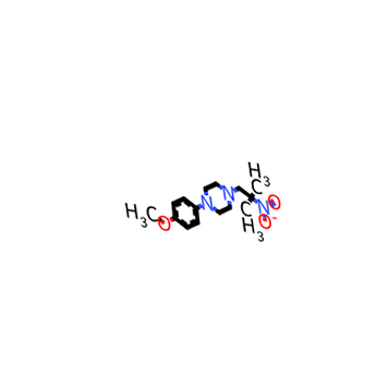 COc1ccc(N2CCN(CC(C)(C)[N+](=O)[O-])CC2)cc1